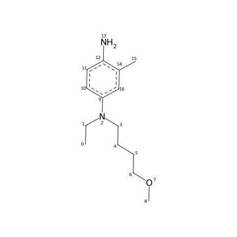 CCN(CCCCOC)c1ccc(N)c(C)c1